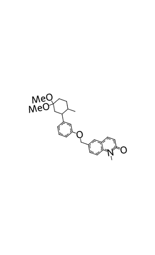 COC1(OC)CCC(C)C(c2cccc(OCc3ccc4c(ccc(=O)n4C)c3)c2)C1